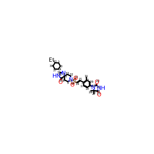 CC[C@H]1CC[C@H](C2=NC3(CCN(S(=O)(=O)/C=C/c4ccc(N5C(=O)NC(=O)C5(C)C)cc4C)CC3)C(=O)N2)CC1